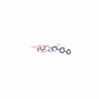 CC(C)n1c(O[C@@H]2CO[C@H]3[C@@H]2OC[C@H]3O)nc2nc(-c3ccc(-c4ccccc4)cc3)c(Cl)cc21